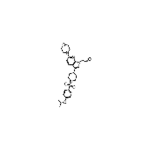 CC(C)Oc1ccc(S(=O)(=O)N2CCC(c3cn(CC=O)c4nc(N5CCOCC5)ccc34)CC2)cc1